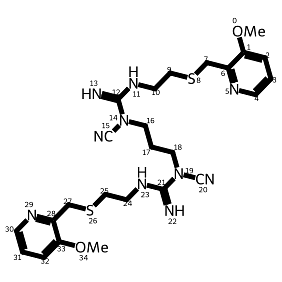 COc1cccnc1CSCCNC(=N)N(C#N)CCCN(C#N)C(=N)NCCSCc1ncccc1OC